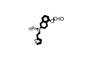 CCCN(CCc1cccs1)C1CCc2c(cccc2OC=O)C1